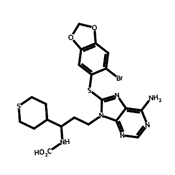 Nc1ncnc2c1nc(Sc1cc3c(cc1Br)OCO3)n2CCC(NC(=O)O)C1CCSCC1